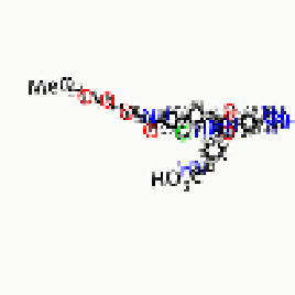 COCCOCCOCCOCCNC(=O)c1ccc(-c2ccc(C[C@H](NC(=O)[C@H]3CC[C@H](CNC(=O)O)CC3)C(=O)Nc3ccc(-c4nn[nH]n4)cc3)cc2)c(Cl)c1